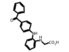 O=C(O)CNc1ccccc1Nc1ccc(C(=O)c2ccccc2)cc1